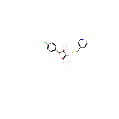 NC1=C(OSCc2ccncc2)C(=O)C(c2ccc(Cl)cc2)O1